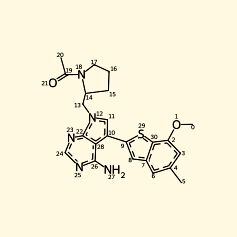 COc1cc(C)cc2cc(-c3cn(CC4CCCN4C(C)=O)c4ncnc(N)c34)sc12